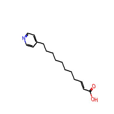 O=C(O)/C=C/CCCCCCCCc1ccncc1